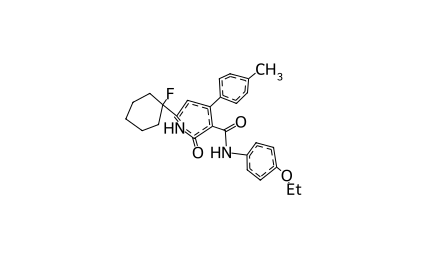 CCOc1ccc(NC(=O)c2c(-c3ccc(C)cc3)cc(C3(F)CCCCC3)[nH]c2=O)cc1